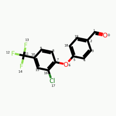 O=Cc1ccc(Oc2ccc(C(F)(F)F)cc2Cl)cc1